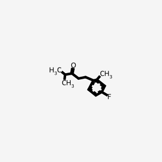 Cc1cc(F)ccc1CCC(=O)C(C)C